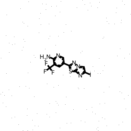 Nc1ncc(-c2nn3cc(I)nc3s2)cc1C(F)(F)F